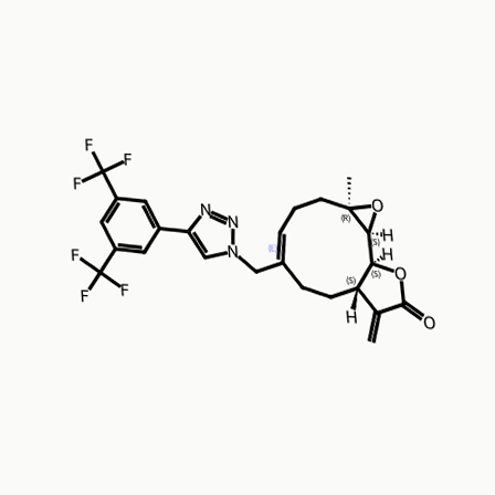 C=C1C(=O)O[C@H]2[C@H]1CC/C(Cn1cc(-c3cc(C(F)(F)F)cc(C(F)(F)F)c3)nn1)=C\CC[C@@]1(C)O[C@@H]21